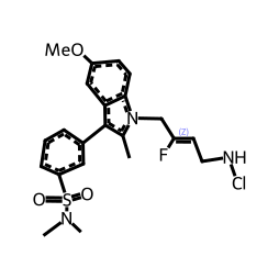 COc1ccc2c(c1)c(-c1cccc(S(=O)(=O)N(C)C)c1)c(C)n2C/C(F)=C/CNCl